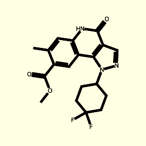 COC(=O)c1cc2c(cc1C)[nH]c(=O)c1cnn(C3CCC(F)(F)CC3)c12